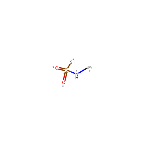 CC(C)NS(=O)(=O)S